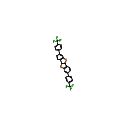 FC(F)(F)c1ccc(-c2ccc3c(c2)SC2c4ccc(-c5ccc(C(F)(F)F)cc5)cc4SC32)cc1